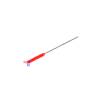 CCCCCCCCCCCCCCCCCCCCCCCCCCCCCCCCCCCCCCCCCCCCCCCCCCCCOOOOOOOOOOOOOOOOOOOOOOONO